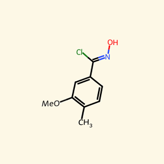 COc1cc(/C(Cl)=N/O)ccc1C